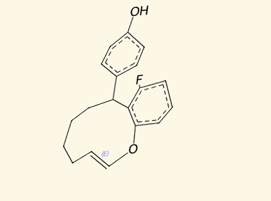 Oc1ccc(C2CCCC/C=C/Oc3cccc(F)c32)cc1